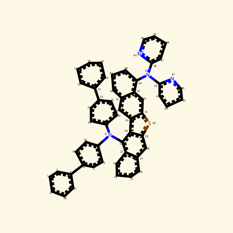 c1ccc(-c2ccc(N(c3ccc(-c4ccccc4)cc3)c3c4ccccc4cc4sc5cc6c(N(c7ccccn7)c7ccccn7)cccc6cc5c34)cc2)cc1